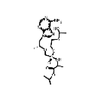 CC(C)OC(=O)[C@H](C)NP(=O)(CO[C@H](C)Cn1cnc2c(N)ncnc21)OCCSC(C)O